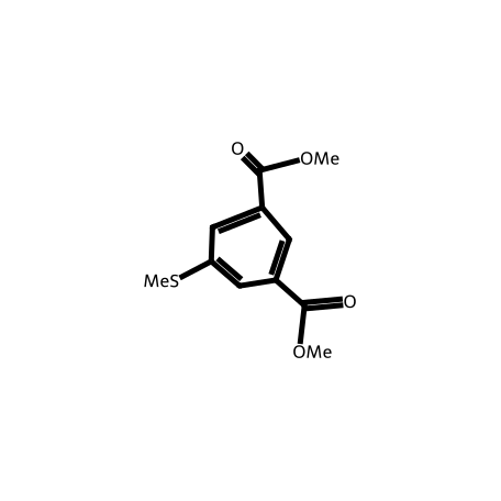 COC(=O)c1cc(SC)cc(C(=O)OC)c1